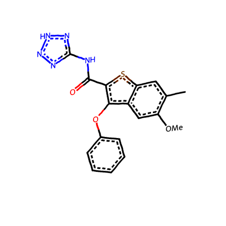 COc1cc2c(Oc3ccccc3)c(C(=O)Nc3nn[nH]n3)sc2cc1C